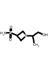 CC(CO)N1CC(S(N)(=O)=O)C1